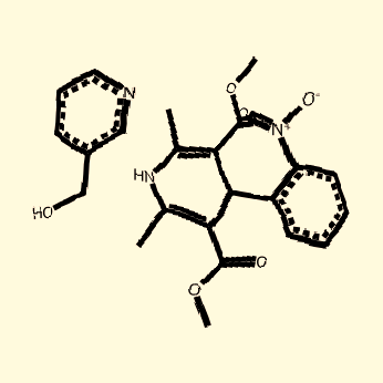 COC(=O)C1=C(C)NC(C)=C(C(=O)OC)C1c1ccccc1[N+](=O)[O-].OCc1cccnc1